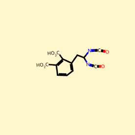 O=C=NC(Cc1cccc(C(=O)O)c1C(=O)O)N=C=O